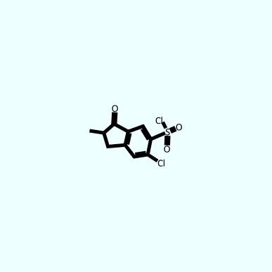 CC1Cc2cc(Cl)c(S(=O)(=O)Cl)cc2C1=O